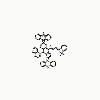 C/C(=C\C=C1/CC(C)(C)c2ccccc21)c1c2cc(N3c4ccccc4N(C)c4ccccc43)ccc2c(-c2cccc3ccccc23)c2cc(N3c4ccccc4N(C)c4ccccc43)ccc12